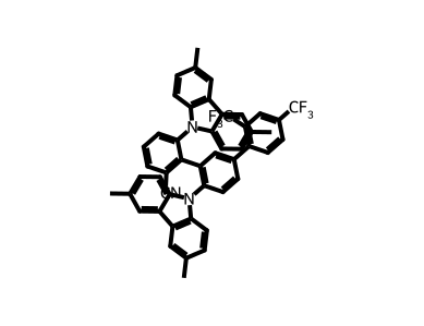 Cc1ccc2c(c1)c1cc(C)ccc1n2-c1ccc(-c2ccc(C(F)(F)F)cc2C(F)(F)F)cc1-c1c(C#N)cccc1-n1c2ccc(C)cc2c2cc(C)ccc21